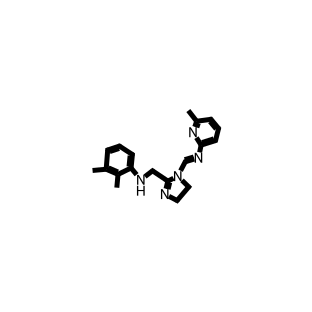 Cc1cccc(N=CN2CCN=C2CNc2cccc(C)c2C)n1